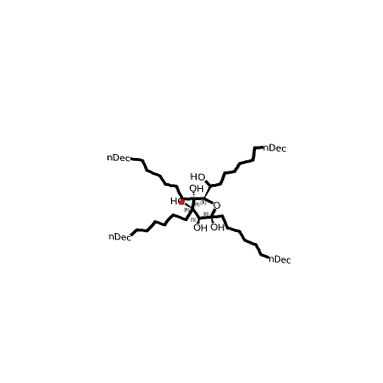 CCCCCCCCCCCCCCCCC(O)[C@H]1O[C@](O)(CCCCCCCCCCCCCCCC)[C@@H](O)[C@](O)(CCCCCCCCCCCCCCCC)[C@@]1(O)CCCCCCCCCCCCCCCC